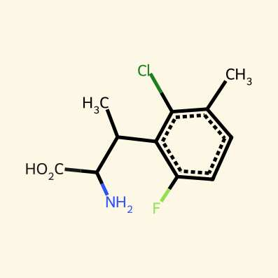 Cc1ccc(F)c(C(C)C(N)C(=O)O)c1Cl